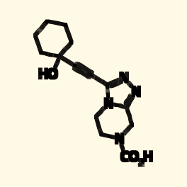 O=C(O)N1CCn2c(C#CC3(O)CCCCC3)nnc2C1